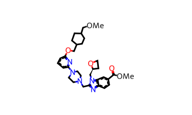 COCC1CCC(COc2cccc(N3CCN(Cc4nc5ccc(C(=O)OC)cc5n4C[C@@H]4CCO4)CC3)n2)CC1